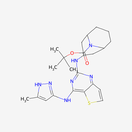 Cc1cc(Nc2nc(NC3CC4CCCC(C3)N4C(=O)OC(C)(C)C)nc3ccsc23)n[nH]1